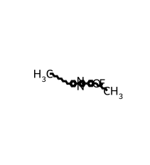 CCCCCCCCCc1ccc(-c2ncc(-c3ccc(OCC(F)CCC)cc3)cn2)cc1